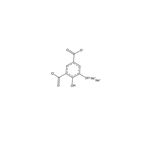 O=C([O-])c1cc(O)c(O)c(C(=O)[O-])c1.[Na+].[Na+]